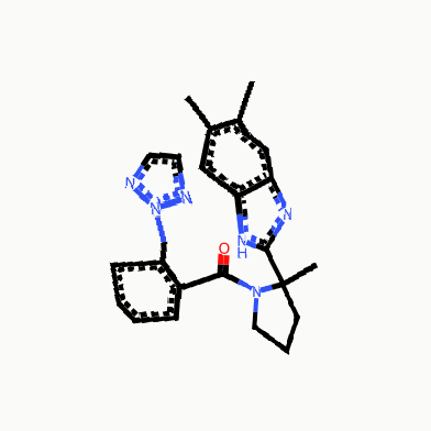 Cc1cc2nc(C3(C)CCCN3C(=O)c3ccccc3-n3nccn3)[nH]c2cc1C